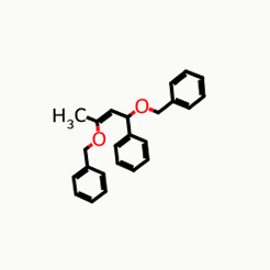 CC(=CC(OCc1ccccc1)c1ccccc1)OCc1ccccc1